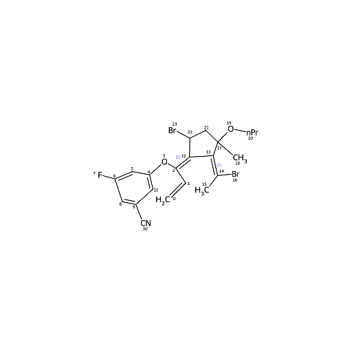 C=C/C(Oc1cc(F)cc(C#N)c1)=C1\C(=C(/C)Br)C(C)(OCCC)CC1Br